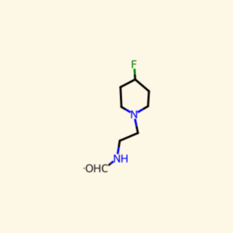 O=[C]NCCN1CCC(F)CC1